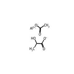 CC(=O)[O-].CC(O)C(=O)[O-].[Al+2]